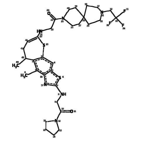 Cc1c2c(cc3sc(NCC(=O)N4CCCC4)nc13)SC(NCC(=O)N1CCC3(CCN(CC(F)(F)F)CC3)CC1)=CCC2C